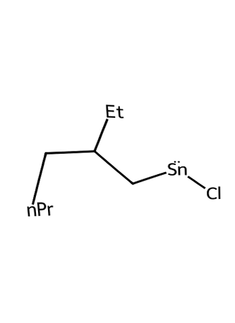 CCCCC(CC)[CH2][Sn][Cl]